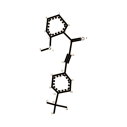 CSc1ccccc1C(=O)C#Cc1ccc(C(C)(C)C)cc1